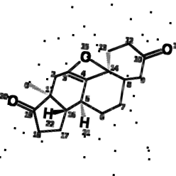 C[C@]12CC3=C4[C@@H](CCC5CC(=O)CC[C@@]45O3)[C@@H]1CCC2=O